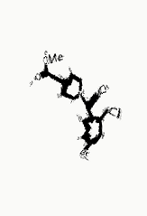 COC(=O)C1CCN(C(=O)c2ccc(Br)cc2Cl)CC1